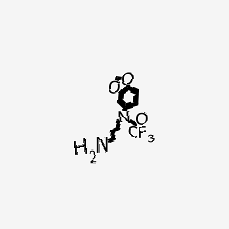 NCCCCN(C(=O)C(F)(F)F)c1ccc2c(c1)OCO2